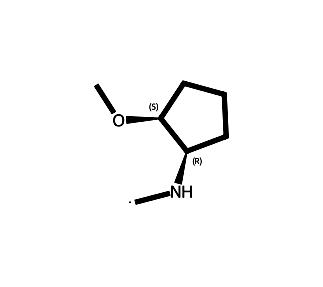 [CH2]N[C@@H]1CCC[C@@H]1OC